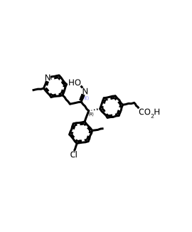 Cc1cc(C/C(=N\O)[C@H](c2ccc(CC(=O)O)cc2)c2ccc(Cl)cc2C)ccn1